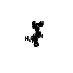 Cc1nc(C2CCCCC2)oc1C(=O)Nc1nc(-c2ccc3c(c2)CCC(=O)N3Cc2cccnc2)cs1